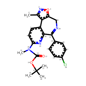 Cc1noc2c1-c1ccc(N(C)C(=O)OC(C)(C)C)nc1C(c1ccc(Cl)cc1)=NC2